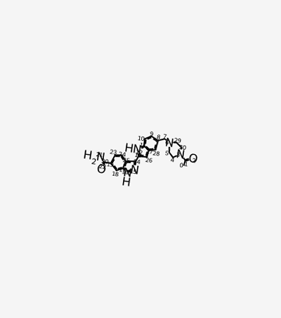 CC(=O)N1CCN(Cc2ccc3[nH]c(-c4n[nH]c5cc(C(N)=O)ccc45)cc3c2)CC1